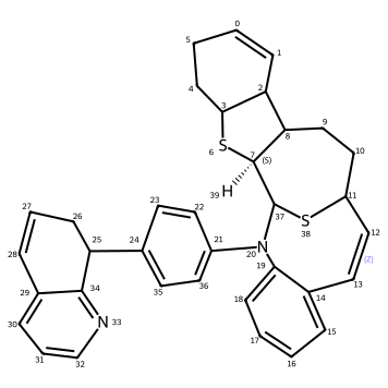 C1=CC2C(CC1)S[C@H]1C2CCC2/C=C\c3ccccc3N(c3ccc(C4CC=Cc5cccnc54)cc3)C1S2